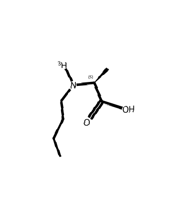 [3H]N(CCCC)[C@@H](C)C(=O)O